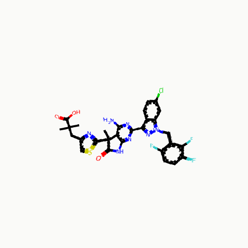 CC(C)(Cc1csc(C2(C)C(=O)Nc3nc(-c4nn(Cc5c(F)ccc(F)c5F)c5cc(Cl)ccc45)nc(N)c32)n1)C(=O)O